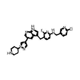 Fc1nc(NCc2ccc(Cl)nc2)ccc1Cc1c[nH]c2ncc(-c3cnn(C4CCNCC4)c3)cc12